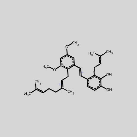 COc1cc(/C=C/c2ccc(O)c(O)c2CC=C(C)C)c(C/C=C(\C)CCC=C(C)C)c(OC)c1